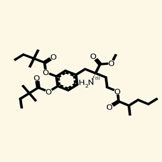 CCCC(C)C(=O)OCC[C@@](N)(Cc1ccc(OC(=O)C(C)(C)CC)c(OC(=O)C(C)(C)CC)c1)C(=O)OC